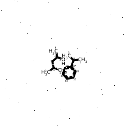 CC(C)CC(C)O.CC(C)c1ccccc1